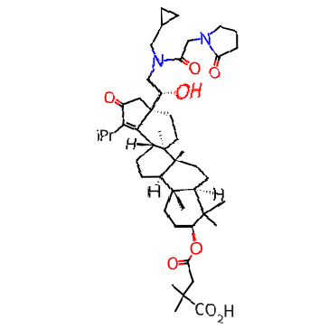 CC(C)C1=C2[C@H]3CC[C@@H]4[C@@]5(C)CC[C@H](OC(=O)CC(C)(C)C(=O)O)C(C)(C)[C@@H]5CC[C@@]4(C)[C@]3(C)CC[C@@]2([C@@H](O)CN(CC2CC2)C(=O)CN2CCCC2=O)CC1=O